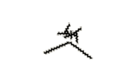 CCCCCCCCCCCCCCCCCC[CH2][Ni][CH2]CCCCCCCCCCCCCCCCCC.CCCCCc1cc(CCCCC)cc(C2=C(CC)C(CCCC)=C(c3cc(CCCCC)cc(CCCCC)c3)[N+]2=[N-])c1